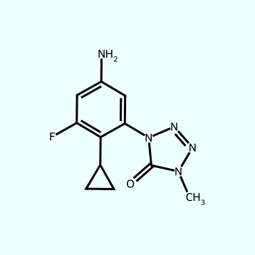 Cn1nnn(-c2cc(N)cc(F)c2C2CC2)c1=O